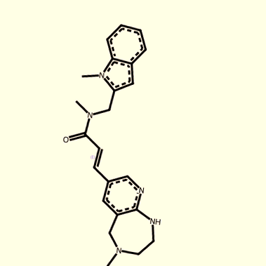 CN1CCNc2ncc(/C=C/C(=O)N(C)Cc3cc4ccccc4n3C)cc2C1